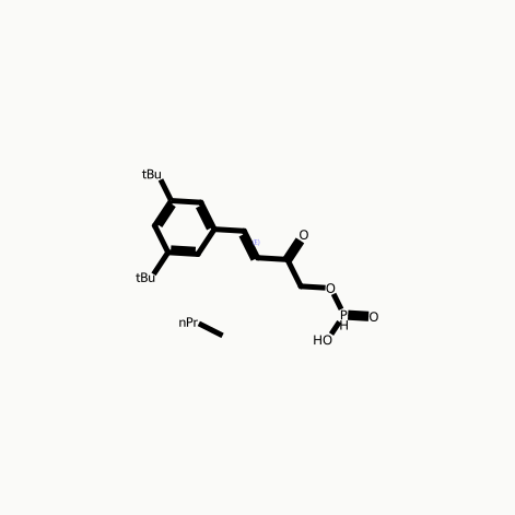 CC(C)(C)c1cc(/C=C/C(=O)CO[PH](=O)O)cc(C(C)(C)C)c1.CCCC